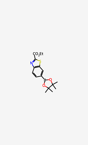 CCOC(=O)c1nc2ccc(B3OC(C)(C)C(C)(C)O3)cc2s1